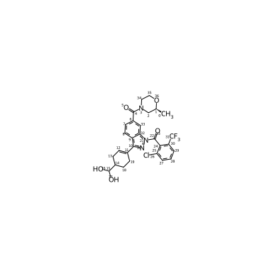 C[C@H]1CN(C(=O)c2ccc3c(C4=CCC(C(O)O)CC4)nn(C(=O)c4c(Cl)cccc4C(F)(F)F)c3c2)CCO1